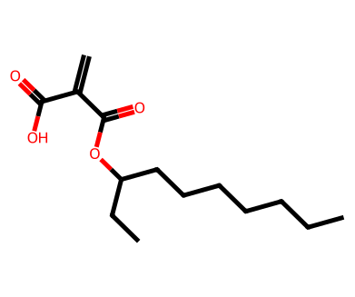 C=C(C(=O)O)C(=O)OC(CC)CCCCCCC